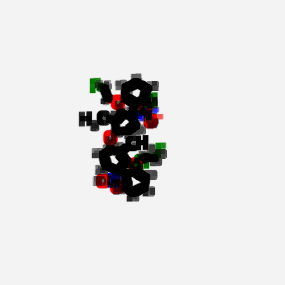 CC1=C(OCCF)C(c2ccccc2Cl)([N+](=O)[O-])C=CC1OC1C=CC(c2ccccc2Cl)([N+](=O)[O-])C(OCCF)=C1C